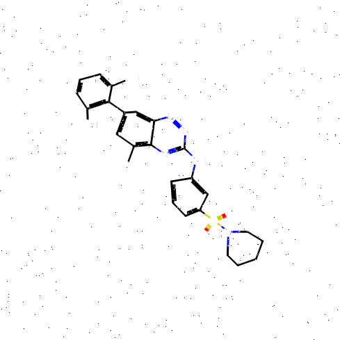 Cc1cccc(C)c1-c1cc(C)c2nc(Nc3cccc(S(=O)(=O)N4CCCCC4)c3)nnc2c1